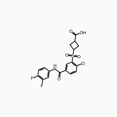 O=C(Nc1ccc(F)c(F)c1)c1ccc(Cl)c(S(=O)(=O)C2CC(C(=O)O)C2)c1